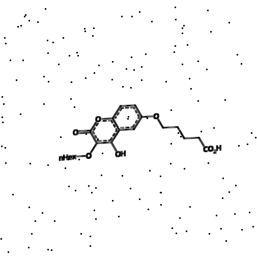 CCCCCCOc1c(O)c2cc(OCCCCC(=O)O)ccc2oc1=O